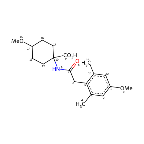 COc1cc(C)c(CC(=O)NC2(C(=O)O)CCC(OC)CC2)c(C)c1